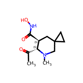 CC(=O)[C@@H]1[C@@H](C(=O)NO)CC2(CC2)CN1C